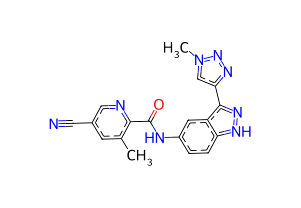 Cc1cc(C#N)cnc1C(=O)Nc1ccc2[nH]nc(-c3cn(C)nn3)c2c1